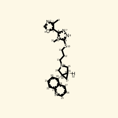 Cc1ncoc1-c1nnc(SCCCN2C[C@H]3C[C@@]3(c3cccc4ncccc34)C2)n1C